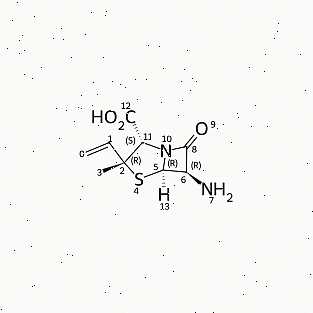 C=C[C@@]1(C)S[C@@H]2[C@H](N)C(=O)N2[C@H]1C(=O)O